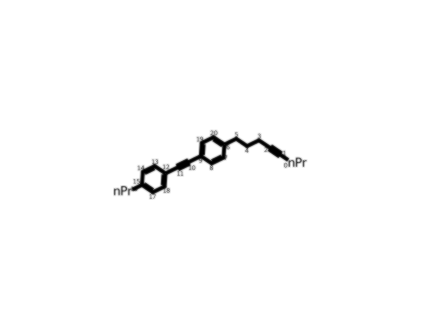 CCCC#CCCCc1ccc(C#Cc2ccc(CCC)cc2)cc1